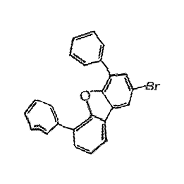 Brc1cc(-c2ccccc2)c2oc3c(-c4ccccc4)cccc3c2c1